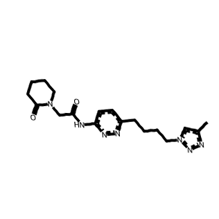 Cc1cn(CCCCc2ccc(NC(=O)CN3CCCCC3=O)nn2)nn1